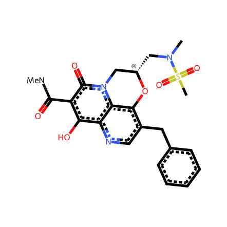 CNC(=O)c1c(O)c2ncc(Cc3ccccc3)c3c2n(c1=O)C[C@H](CN(C)S(C)(=O)=O)O3